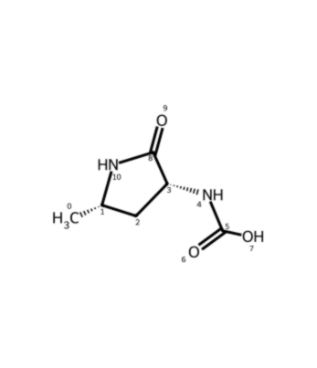 C[C@H]1C[C@@H](NC(=O)O)C(=O)N1